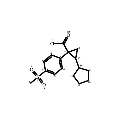 CS(=O)(=O)c1ccc(C2(C(=O)Cl)CC2C2CCCC2)cc1